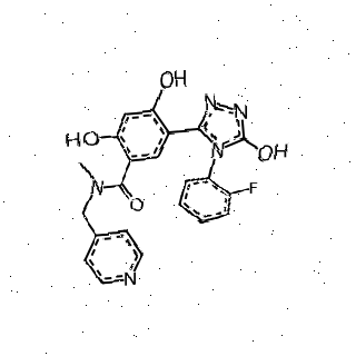 CN(Cc1ccncc1)C(=O)c1cc(-c2nnc(O)n2-c2ccccc2F)c(O)cc1O